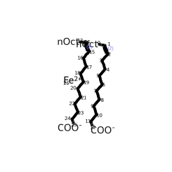 CCCCCCCC/C=C\CCCCCCCCCC(=O)[O-].CCCCCCCC/C=C\CCCCCCCCCC(=O)[O-].[Fe+2]